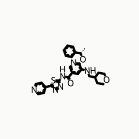 C[C@H](Oc1ncc(C(=O)Nc2nnc(-c3ccncc3)s2)cc1NCC1CCOCC1)c1ccccc1